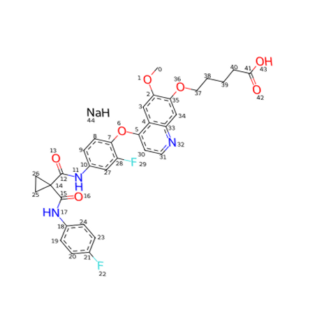 COc1cc2c(Oc3ccc(NC(=O)C4(C(=O)Nc5ccc(F)cc5)CC4)cc3F)ccnc2cc1OCCCCC(=O)O.[NaH]